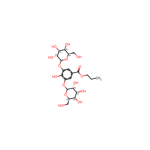 CCCOC(=O)c1cc(OC2O[C@H](CO)[C@H](O)[C@H](O)[C@H]2O)c(O)c(OC2O[C@H](CO)[C@H](O)[C@H](O)[C@H]2O)c1